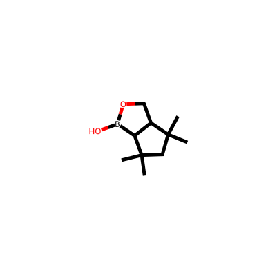 CC1(C)CC(C)(C)C2B(O)OCC21